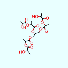 CC(O)C(=O)OC(C)C(=O)OCC(COC(=O)C(C)OC(=O)C(C)O)OC(=O)C(C)OC(=O)C(C)O